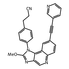 COc1nc2cnc3ccc(C#Cc4cccnc4)cc3c2n1-c1ccc(CCC#N)cc1